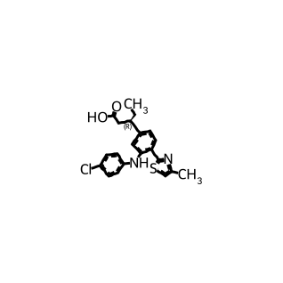 CC[C@H](CC(=O)O)c1ccc(-c2nc(C)cs2)c(Nc2ccc(Cl)cc2)c1